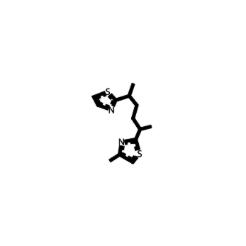 Cc1csc(C(C)CCC(C)c2nccs2)n1